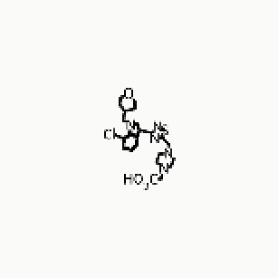 O=C(O)CN1CCN(Cc2nc(-c3cn(CC4CCOCC4)c4c(Cl)cccc34)ns2)CC1